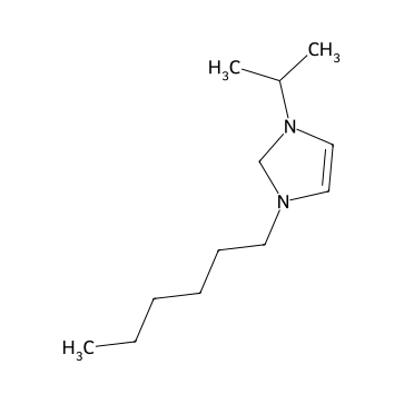 CCCCCCN1C=CN(C(C)C)C1